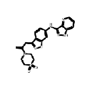 C=C(Cc1noc2cc(Nc3n[nH]c4cccnc34)ccc12)N1CCS(=O)(=O)CC1